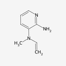 C=CN(C)c1cccnc1N